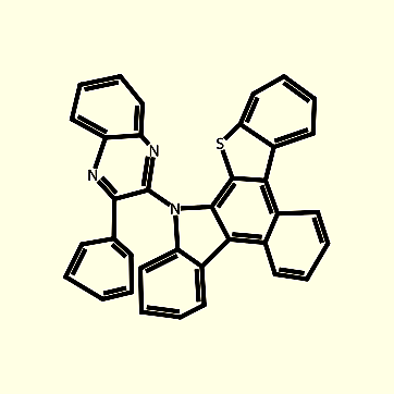 c1ccc(-c2nc3ccccc3nc2-n2c3ccccc3c3c4ccccc4c4c5ccccc5sc4c32)cc1